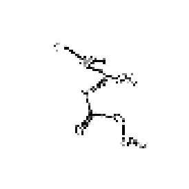 [CH2]CCNC(N)=NC(=O)OC(C)(C)C